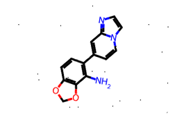 Nc1c(-c2ccn3ccnc3c2)ccc2c1OCO2